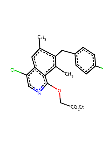 CCOC(=O)COc1ncc(Cl)c2cc(C)c(Cc3ccc(Cl)cc3)c(C)c12